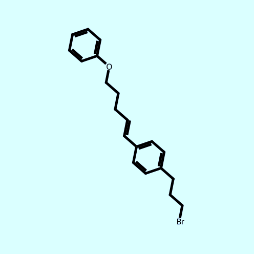 BrCCCc1ccc(C=CCCCOc2ccccc2)cc1